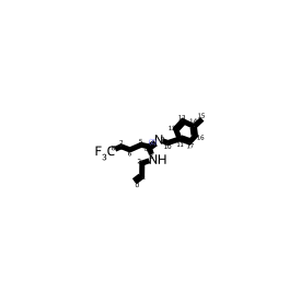 C=CCN/C(CCCC(F)(F)F)=N\Cc1ccc(C)cc1